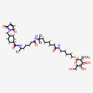 CCC(CCCCC(=O)NC(CC)(CC)CCCCCC(=O)NCCCCCS[C@@H]1OC(CO)[C@H](O)C(O)C1NC(C)=O)NC(=O)C1CCC(CN2C(=O)C=CC2=O)CC1